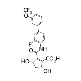 O=C(O)C1=C(C(=O)Nc2ccc(-c3cccc(OC(F)(F)F)c3)cc2F)C(O)CC1O